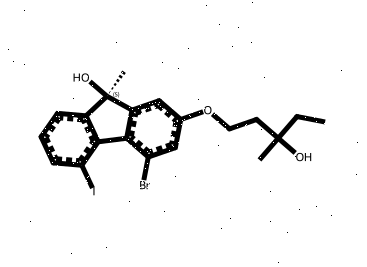 CCC(C)(O)CCOc1cc(Br)c2c(c1)[C@](C)(O)c1cccc(I)c1-2